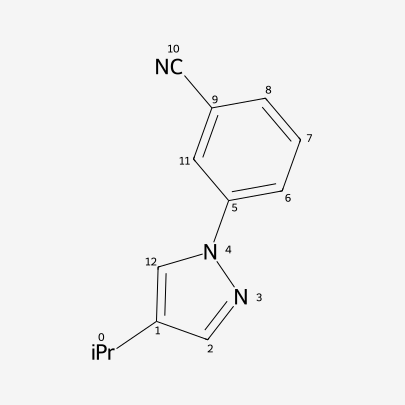 CC(C)c1cnn(-c2cccc(C#N)c2)c1